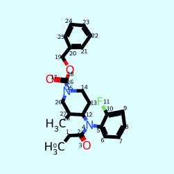 CCC(=O)N(c1ccccc1F)C1CCN(C(=O)OCc2ccccc2)CC1C